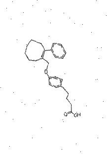 O=C(O)CCCc1ccc(OC/C2=C(\c3ccccc3)CCCCCC2)cc1